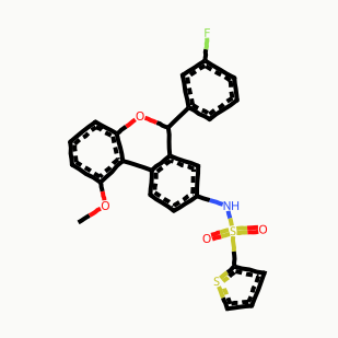 COc1cccc2c1-c1ccc(NS(=O)(=O)c3cccs3)cc1C(c1cccc(F)c1)O2